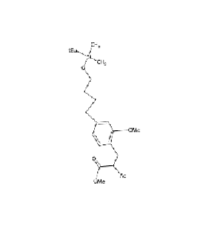 COC(=O)C(Cc1ccc(CCCCO[Si](C)(C)C(C)(C)C)cc1OC)C(C)=O